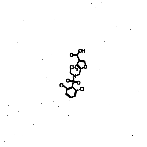 CCN(Cc1cc(C(=O)O)co1)S(=O)(=O)c1c(Cl)cccc1Cl